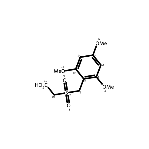 COc1cc(OC)c(CS(=O)(=O)CC(=O)O)c(OC)c1